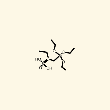 CCO[Si](CS(CC)=S(=O)(O)O)(OCC)OCC